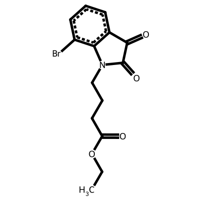 CCOC(=O)CCCN1C(=O)C(=O)c2cccc(Br)c21